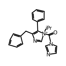 CC(C)[N+]1(C(=O)n2ccnc2)C=NC(Cc2ccccc2)=C1c1ccccc1